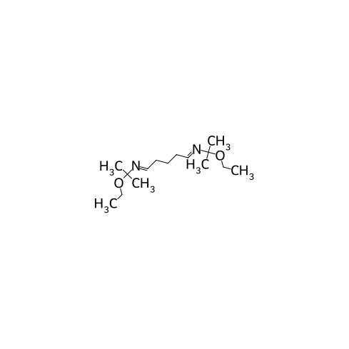 CCOC(C)(C)/N=C/CCC/C=N/C(C)(C)OCC